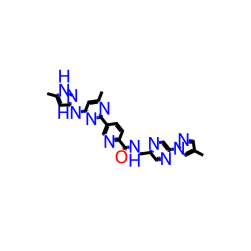 Cc1cnn(-c2cnc(CNC(=O)c3ccc(-c4nc(C)cc(Nc5cc(C)[nH]n5)n4)cn3)cn2)c1